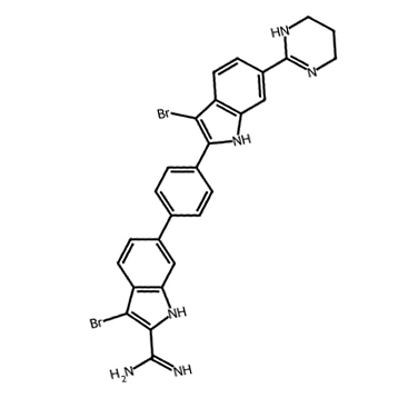 N=C(N)c1[nH]c2cc(-c3ccc(-c4[nH]c5cc(C6=NCCCN6)ccc5c4Br)cc3)ccc2c1Br